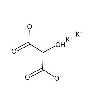 O=C([O-])C(O)C(=O)[O-].[K+].[K+]